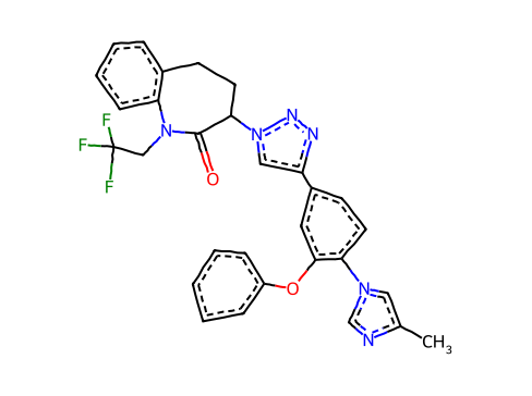 Cc1cn(-c2ccc(-c3cn(C4CCc5ccccc5N(CC(F)(F)F)C4=O)nn3)cc2Oc2ccccc2)cn1